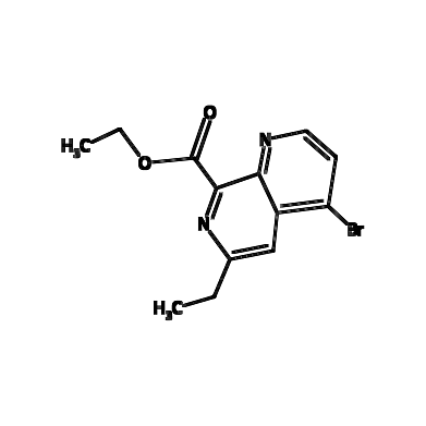 CCOC(=O)c1nc(CC)cc2c(Br)ccnc12